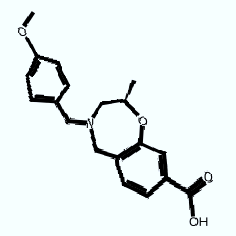 COc1ccc(CN2Cc3ccc(C(=O)O)cc3O[C@H](C)C2)cc1